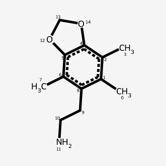 Cc1c(C)c2c(c(C)c1CCN)OCO2